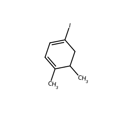 CC1=CC=C(I)CC1C